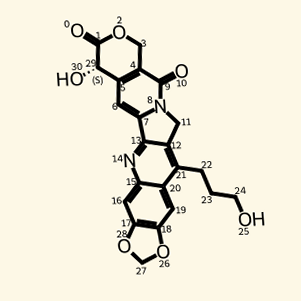 O=C1OCc2c(cc3n(c2=O)Cc2c-3nc3cc4c(cc3c2CCCO)OCO4)[C@@H]1O